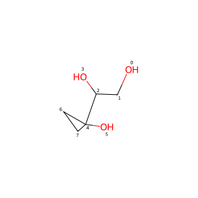 OCC(O)C1(O)CC1